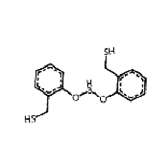 SCc1ccccc1OBOc1ccccc1CS